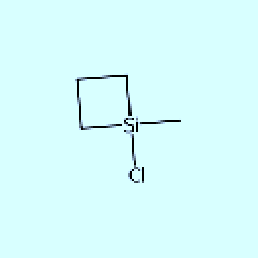 C[Si]1(Cl)CCC1